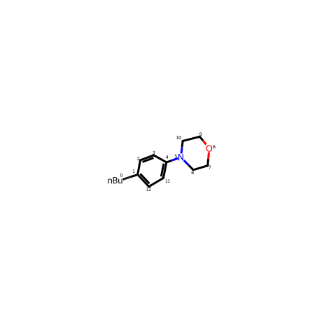 CCCCc1ccc(N2CCOCC2)cc1